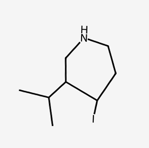 CC(C)C1CNCCC1I